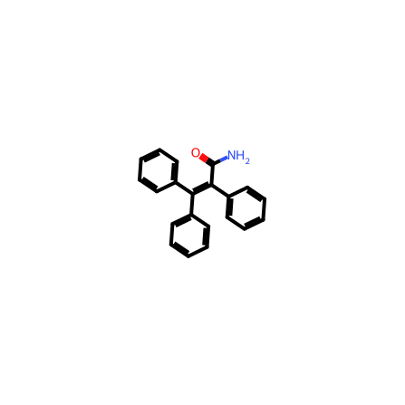 NC(=O)C(=C(c1ccccc1)c1ccccc1)c1ccccc1